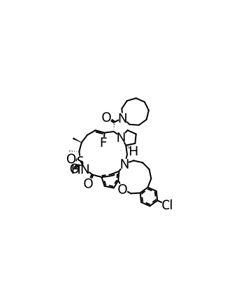 C[C@@H]1[C@@H](C)C/C=C(\F)[C@H](C(=O)N2CCCCCCCC2)N2CCC[C@H]2CN2CCCCc3cc(Cl)ccc3COc3ccc(cc32)C(=O)NS1(=O)=O